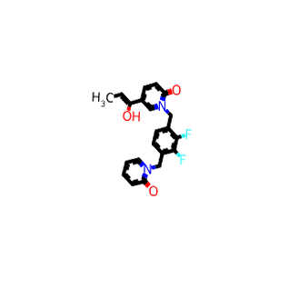 CC=C(O)c1ccc(=O)n(Cc2ccc(Cn3ccccc3=O)c(F)c2F)c1